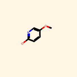 COc1ccc([O])nc1